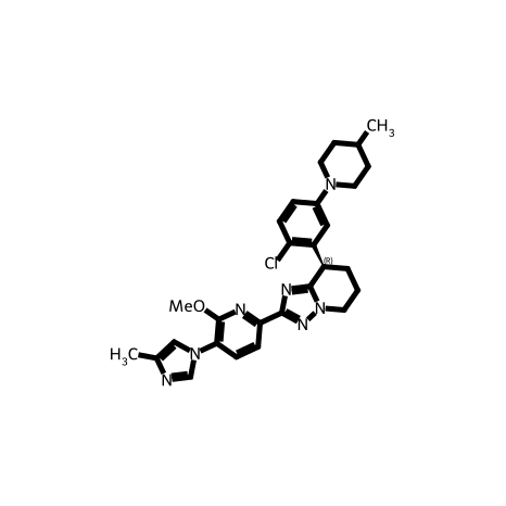 COc1nc(-c2nc3n(n2)CCC[C@@H]3c2cc(N3CCC(C)CC3)ccc2Cl)ccc1-n1cnc(C)c1